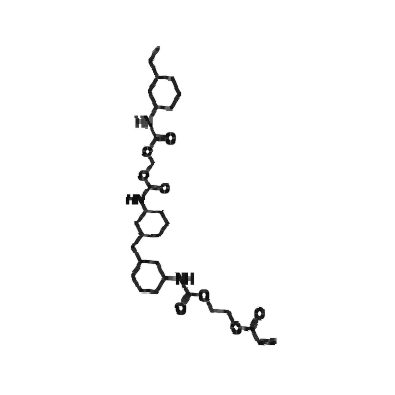 C=CC(=O)OCCOC(=O)NC1CCCC(CC2CCCC(NC(=O)OCOC(=O)NC3CCCC(CC)C3)C2)C1